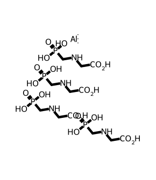 O=C(O)CNCP(=O)(O)O.O=C(O)CNCP(=O)(O)O.O=C(O)CNCP(=O)(O)O.O=C(O)CNCP(=O)(O)O.[Al]